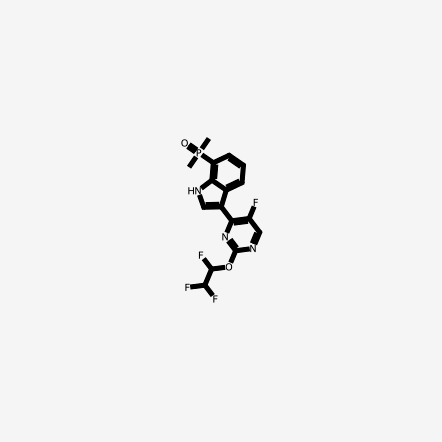 CP(C)(=O)c1cccc2c(-c3nc(OC(F)C(F)F)ncc3F)c[nH]c12